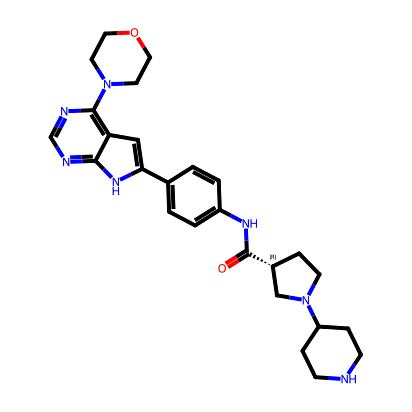 O=C(Nc1ccc(-c2cc3c(N4CCOCC4)ncnc3[nH]2)cc1)[C@@H]1CCN(C2CCNCC2)C1